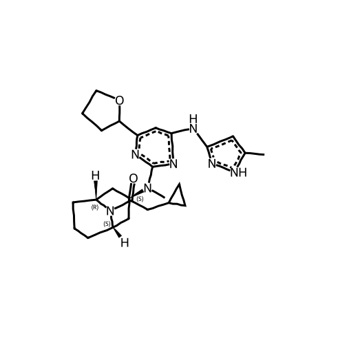 Cc1cc(Nc2cc(C3CCCO3)nc(N(C)[C@@H]3C[C@H]4CCC[C@@H](C3)N4C(=O)CC3CC3)n2)n[nH]1